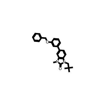 Cn1c(=O)n(CC(C)(C)C)c2ccc(-c3cccc(OCc4ccccc4)c3)cc21